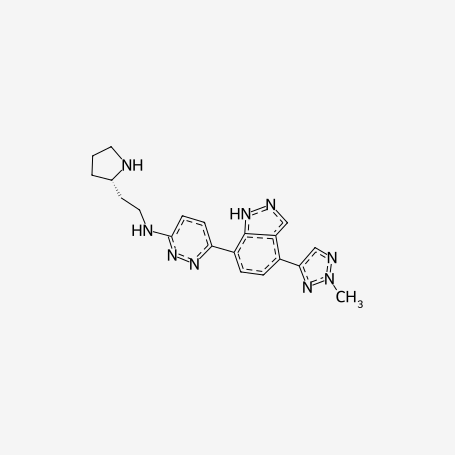 Cn1ncc(-c2ccc(-c3ccc(NCC[C@@H]4CCCN4)nn3)c3[nH]ncc23)n1